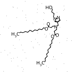 CCCCCCCCCCCCOC(=O)CCN(CCC(=O)OCCCCCCCCCCCC)Cc1cnn(CCCCO)c1